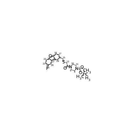 CC(C)(C)OC(=O)N1CCN(C(=O)CSCc2ccc3oc4ccc(F)cc4c3c2)CC1